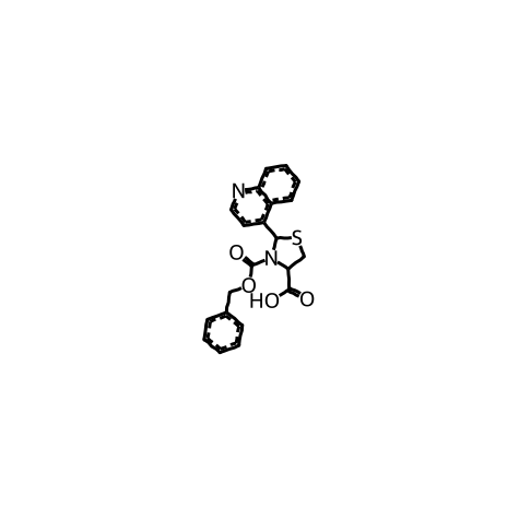 O=C(O)C1CSC(c2ccnc3ccccc23)N1C(=O)OCc1ccccc1